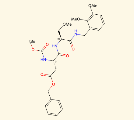 COC[C@H](NC(=O)[C@H](CC(=O)OCc1ccccc1)NC(=O)OC(C)(C)C)C(=O)NCc1cccc(OC)c1OC